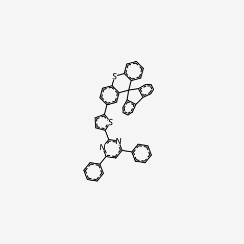 c1ccc(-c2cc(-c3ccccc3)nc(-c3ccc(-c4ccc5c(c4)C4(c6ccccc6S5)c5ccccc5-c5ccccc54)s3)n2)cc1